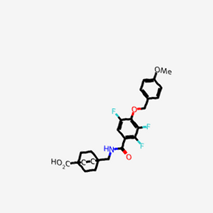 COc1ccc(COc2c(F)cc(C(=O)NCC34CCC(C(=O)O)(CC3)CC4)c(F)c2F)cc1